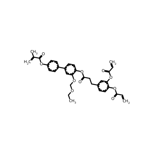 C=CC(=O)Oc1ccc(CCC(=O)Oc2ccc(-c3ccc(OC(=O)C(=C)C)cc3)cc2OCOCC)cc1OC(=O)C=C